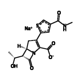 CNC(=O)c1csc(C2=C(C(=O)[O-])N3C(=O)[C@H]([C@@H](C)O)[C@H]3C2)c1.[Na+]